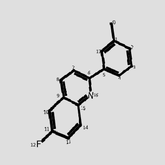 Cc1cccc(-c2ccc3cc(F)ccc3n2)c1